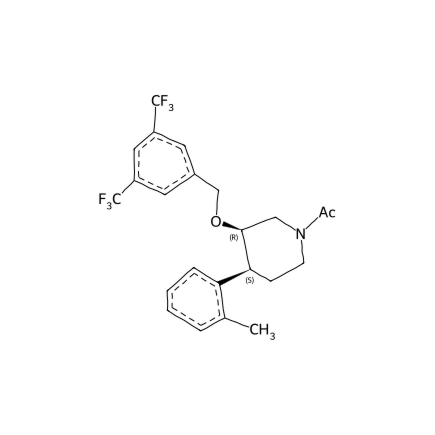 CC(=O)N1CC[C@@H](c2ccccc2C)[C@@H](OCc2cc(C(F)(F)F)cc(C(F)(F)F)c2)C1